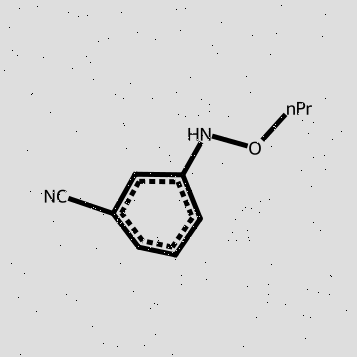 CCCONc1cccc(C#N)c1